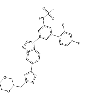 CS(=O)(=O)Nc1cc(-c2ncc(F)cc2F)cc(-c2cnn3cc(-c4cnn(CC5COCCO5)c4)ccc23)c1